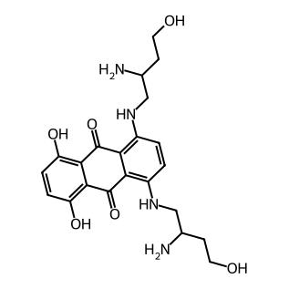 NC(CCO)CNc1ccc(NCC(N)CCO)c2c1C(=O)c1c(O)ccc(O)c1C2=O